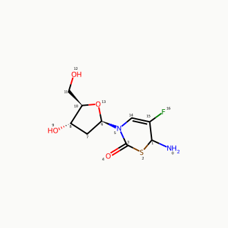 NC1SC(=O)N([C@H]2C[C@H](O)[C@@H](CO)O2)C=C1F